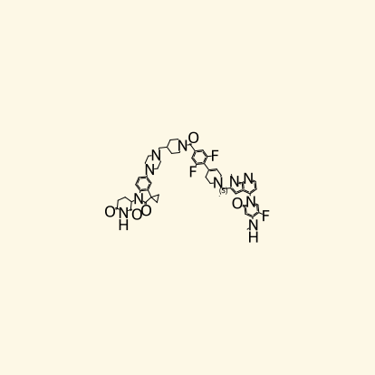 CNc1cc(=O)n(-c2ccnc3c2cc([C@H](C)N2CC=C(c4c(F)cc(C(=O)N5CCC(CN6CCN(c7ccc8c(c7)C7(CC7)C(=O)N8C7CCC(=O)NC7=O)CC6)CC5)cc4F)CC2)n3C)cc1F